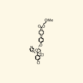 COCCOC(=O)N1CCN(c2ccc(OC[C@@H]3CO[C@@](Cn4ccnc4)(c4ccc(Cl)cc4Cl)O3)cc2)CC1